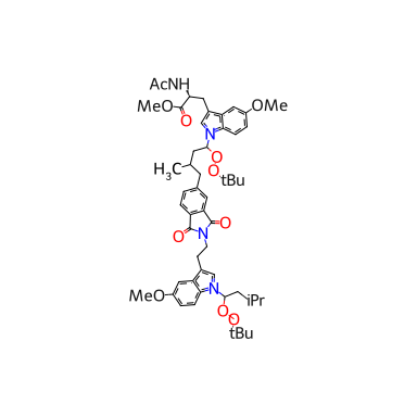 COC(=O)[C@H](Cc1cn(C(CC(C)Cc2ccc3c(c2)C(=O)N(CCc2cn(C(CC(C)C)OOC(C)(C)C)c4ccc(OC)cc24)C3=O)OOC(C)(C)C)c2ccc(OC)cc12)NC(C)=O